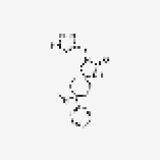 CN(C)[C@]1(c2ccccc2)CC[C@@]2(CC1)CN(Cc1c[nH]nn1)C(=O)N2